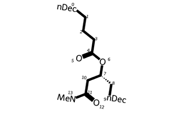 CCCCCCCCCCCCCC(=O)O[C@H](CCCCCCCCCCC)CC(=O)NC